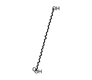 O=C(O)CCCCCCCCCCCCCCCCCCCCCCCCCCCCCCCCCCCCO